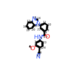 COc1cc(NC(=O)c2cccc(-n3cnc4ccccc43)c2)ccc1C#N